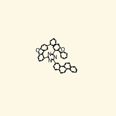 c1ccc(-c2ccc3oc4cccc(-c5nc(-c6ccc7ccc8c9ccccc9ccc8c7c6)nc(-c6cccc7oc8ccccc8c67)n5)c4c3c2)cc1